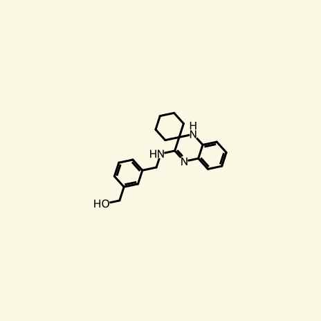 OCc1cccc(CNC2=Nc3ccccc3NC23CCCCC3)c1